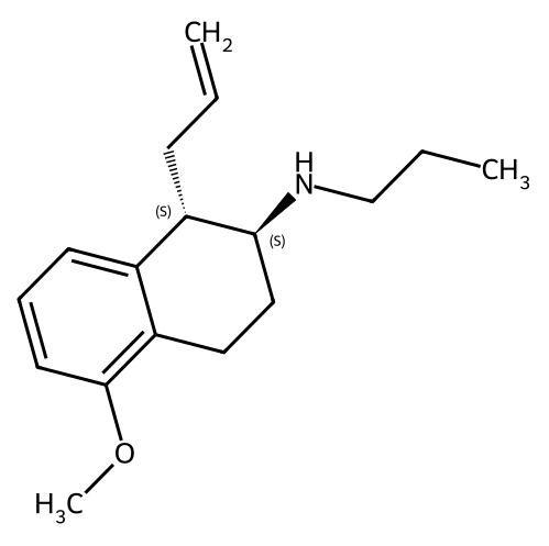 C=CC[C@H]1c2cccc(OC)c2CC[C@@H]1NCCC